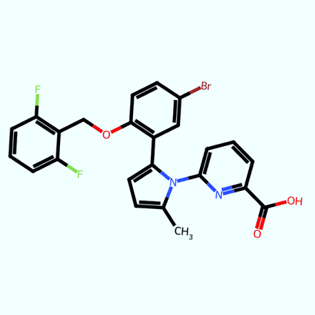 Cc1ccc(-c2cc(Br)ccc2OCc2c(F)cccc2F)n1-c1cccc(C(=O)O)n1